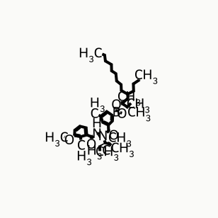 CCCCCCCCCC(CCCC)CC1(C)OB(c2cc(C)cc(C(=O)N(NC(=O)c3cccc(OC)c3C)[C@H](CC)C(C)(C)C)c2)OC1(C)C